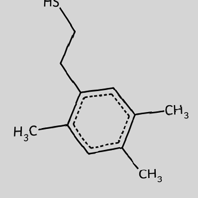 Cc1cc(C)c(CCS)cc1C